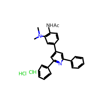 CC(=O)Nc1ccc(-c2cc(-c3ccccc3)nc(-c3ccccc3)c2)cc1N(C)C.Cl.Cl